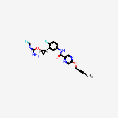 CC#CCOc1cnc(C(=O)Nc2ccc(F)c([C@H]3C[C@H]3O/C(N)=N\CF)c2)cn1